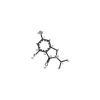 CC(C)N1Cc2cc(Br)cc(F)c2C1=O